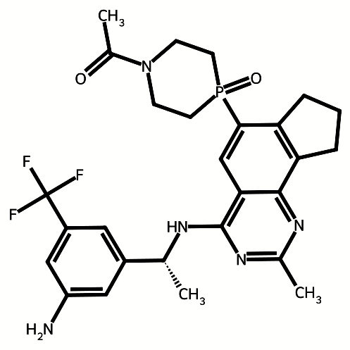 CC(=O)N1CCP(=O)(c2cc3c(N[C@H](C)c4cc(N)cc(C(F)(F)F)c4)nc(C)nc3c3c2CCC3)CC1